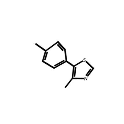 [CH2]c1ccc(-c2scnc2C)cc1